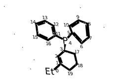 CCC1=C[C@@H](P(c2ccccc2)c2ccccc2)CCC1